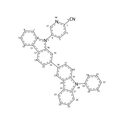 N#Cc1ccc(-n2c3ccccc3c3ccc(-c4ccc5c(c4)c4ccccc4n5-c4ccccc4)cc32)cn1